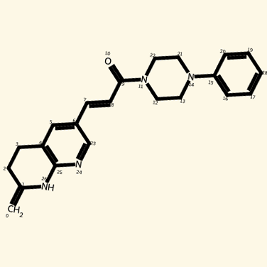 C=C1CCc2cc(/C=C/C(=O)N3CCN(c4ccccc4)CC3)cnc2N1